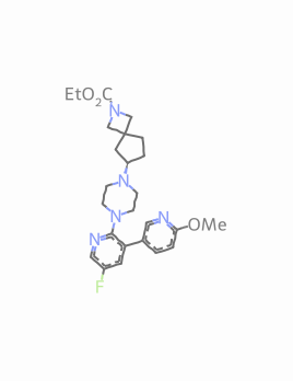 CCOC(=O)N1CC2(CC[C@@H](N3CCN(c4ncc(F)cc4-c4ccc(OC)nc4)CC3)C2)C1